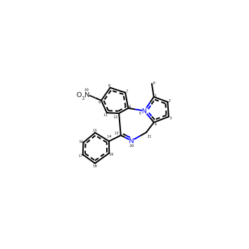 Cc1ccc2n1-c1ccc([N+](=O)[O-])cc1C(c1ccccc1)=NC2